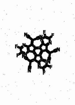 N#CC(C#N)=C1c2nc(F)c(F)nc2-c2c1c1c(c3c2C(=C(C#N)C#N)c2nc(F)c(F)nc2-3)C(=C(C#N)C#N)c2nc(F)c(F)nc2-1